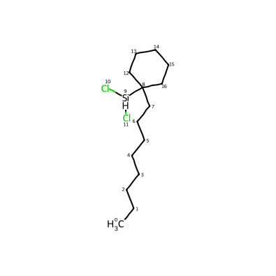 CCCCCCCCC1([SiH](Cl)Cl)CCCCC1